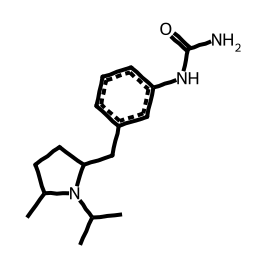 CC(C)N1C(C)CCC1Cc1cccc(NC(N)=O)c1